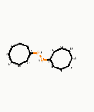 C1CCCC([P][P]C2CCCCCCC2)CCC1